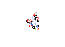 O=C(N[C@@H](Cc1ccccc1)[C@@H](O)CN[C@H]1CC2(CCC2)Oc2ccc(OC(F)(F)F)cc21)c1ccc(F)c(N2CCCC2=O)c1